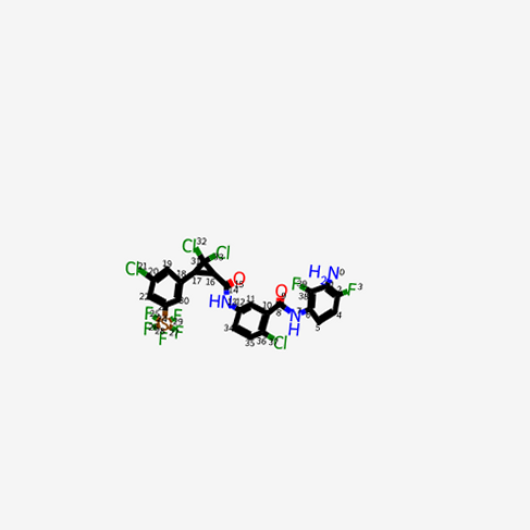 Nc1c(F)ccc(NC(=O)c2cc(NC(=O)C3C(c4cc(Cl)cc(S(F)(F)(F)(F)F)c4)C3(Cl)Cl)ccc2Cl)c1F